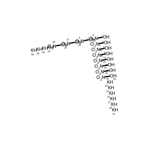 O=[N+]([O-])O.O=[N+]([O-])O.O=[N+]([O-])O.O=[N+]([O-])O.O=[N+]([O-])O.O=[N+]([O-])O.O=[N+]([O-])O.O=[N+]([O-])O.O=[N+]([O-])O.O=[N+]([O-])O.O=[N+]([O-])O.[KH].[KH].[KH].[KH].[KH].[KH].[KH].[KH].[KH].[KH]